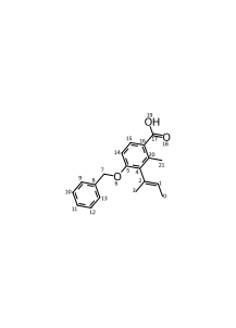 CC=C(C)c1c(OCc2ccccc2)ccc(C(=O)O)c1C